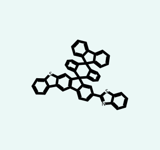 c1ccc2c(c1)-c1ccccc1C21c2ccccc2C2(c3cc(-c4nc5ccccc5s4)ccc3-c3cc4c(cc32)sc2ccccc24)c2ccccc21